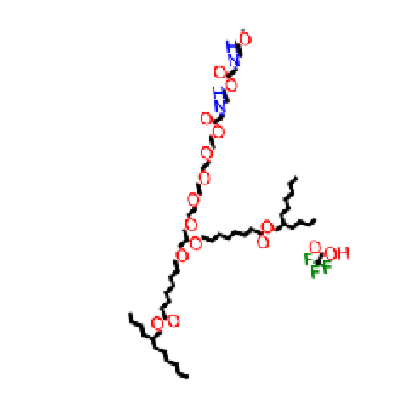 CCCCCCC(CCCC)COC(=O)CCCCCCCOCC(COCCOCCOCCOCCOC(=O)CNCCOC(=O)CNCCOC)OCCCCCCCC(=O)OCC(CCCC)CCCCCC.O=C(O)C(F)(F)F